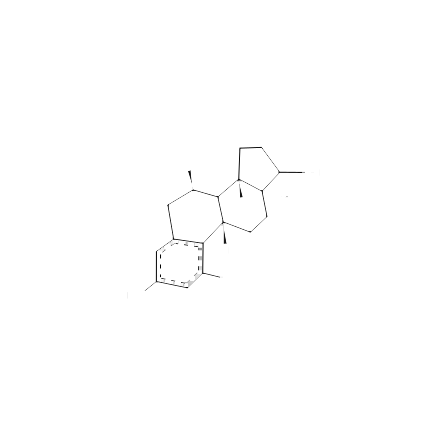 Oc1cc(O)c2c(c1)C[C@@H](F)[C@H]1[C@@H]3CCC(O)[C@H]3CC[C@H]21